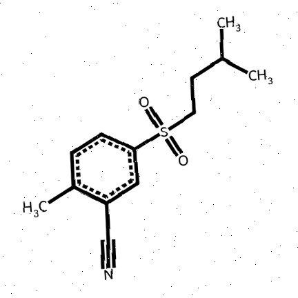 Cc1ccc(S(=O)(=O)CCC(C)C)cc1C#N